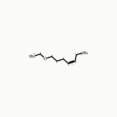 CC(C)(C)C/C=C\CCCOCC(C)(C)C